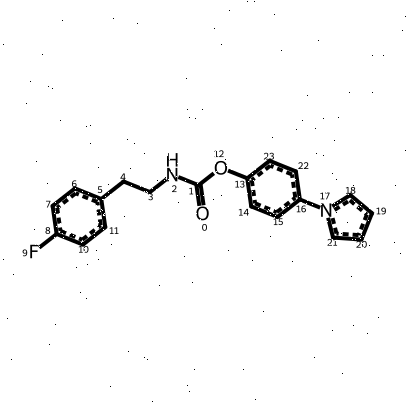 O=C(NCCc1ccc(F)cc1)Oc1ccc(-n2cccc2)cc1